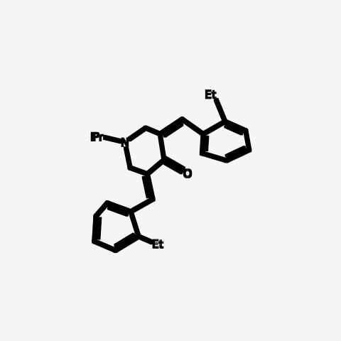 CCc1ccccc1C=C1CN(C(C)C)CC(=Cc2ccccc2CC)C1=O